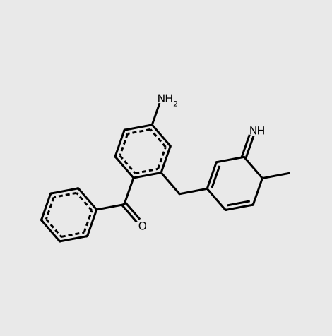 CC1C=CC(Cc2cc(N)ccc2C(=O)c2ccccc2)=CC1=N